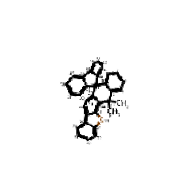 CC1(C)c2ccccc2C2(c3ccccc3-c3ccccc32)c2ccc3c(sc4ccccc43)c21